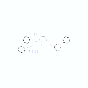 CC(C)(CCC(C(N)=O)(c1ccccc1)c1ccccc1)N1CC[C@H](OCc2cccc(-c3ccccc3O)c2)C1